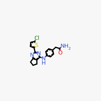 NC(=O)Cc1ccc(Nc2nc(-c3ccc(Cl)s3)nc3c2CCC3)cc1